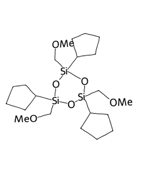 COC[Si]1(C2CCCC2)O[Si](COC)(C2CCCC2)O[Si](COC)(C2CCCC2)O1